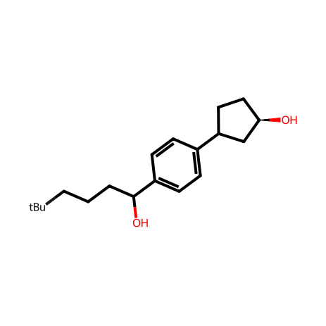 CC(C)(C)CCCC(O)c1ccc(C2CC[C@@H](O)C2)cc1